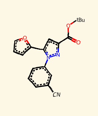 CC(C)(C)OC(=O)c1cc(-c2ccco2)n(-c2cccc(C#N)c2)n1